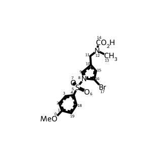 COc1ccc(S(=O)(=O)n2cc(CN(C)C(=O)O)cc2Br)cc1